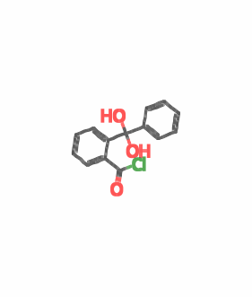 O=C(Cl)c1ccccc1C(O)(O)c1ccccc1